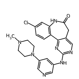 CN1CCN(c2cncc(Nc3ncc4c(n3)-c3ccc(Cl)cc3NC(=O)C4)c2)CC1